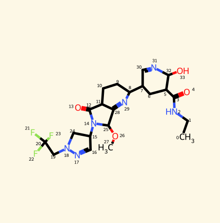 CCNC(=O)C1CC(C2CCC3C(=O)N(C4C=NN(CC(F)(F)F)C4)C(OC)C3=N2)C=NC1O